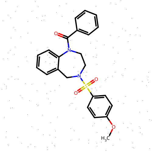 COc1ccc(S(=O)(=O)N2CCN(C(=O)c3ccccc3)c3ccccc3C2)cc1